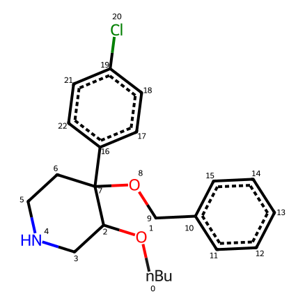 CCCCOC1CNCCC1(OCc1ccccc1)c1ccc(Cl)cc1